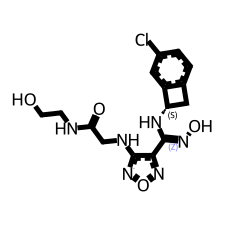 O=C(CNc1nonc1/C(=N/O)N[C@H]1Cc2ccc(Cl)cc21)NCCO